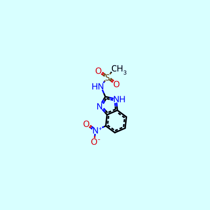 CS(=O)(=O)Nc1nc2c([N+](=O)[O-])cccc2[nH]1